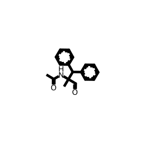 CC(=O)NC(C)(C=O)C(c1ccccc1)c1ccccc1